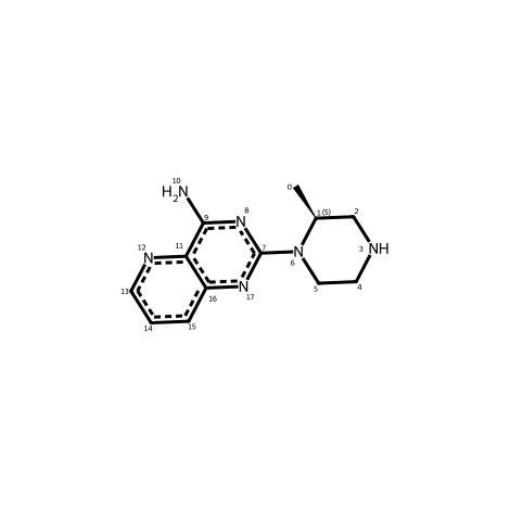 C[C@H]1CNCCN1c1nc(N)c2ncccc2n1